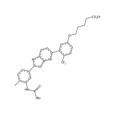 CCOC(=O)CCCCOc1ccc(C(F)(F)F)c(-c2ccc3nc(-c4ccc(C)c(NC(=O)C(C)(C)C)c4)cn3n2)c1